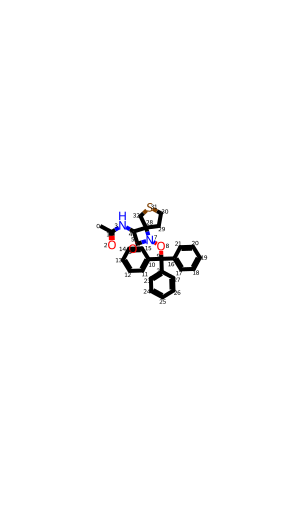 CC(=O)NC1C(=O)N(OC(c2ccccc2)(c2ccccc2)c2ccccc2)C12CCSC2